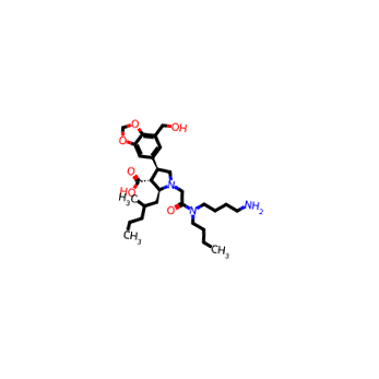 CCCCN(CCCCN)C(=O)CN1C[C@H](c2cc(CO)c3c(c2)OCO3)[C@@H](C(=O)O)[C@@H]1CC(C)CCC